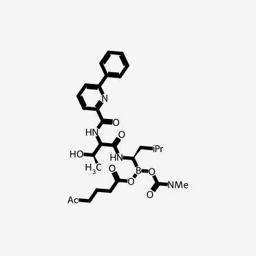 CNC(=O)OB(OC(=O)CCCC(C)=O)[C@H](CC(C)C)NC(=O)C(NC(=O)c1cccc(-c2ccccc2)n1)[C@@H](C)O